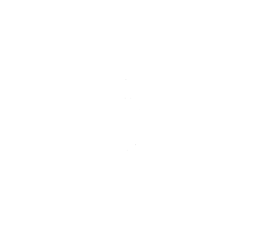 CN(C)/C(=C/CCc1ccccc1)C(=O)O